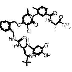 Cc1ccc(C(=O)N[C@@H](C)C(N)=O)cc1-n1c(C)cc(OCc2ccccc2CNC(=O)N/C(=C/C(=N)C(C)(C)C)Nc2ccc(O)c(Cl)c2)c(Cl)c1=O